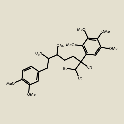 CCC(CC)C(C#N)(CCC(OC(C)=O)C(Cc1ccc(OC)c(OC)c1)[N+](=O)[O-])c1cc(OC)c(OC)c(OC)c1OC